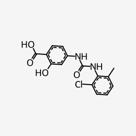 Cc1cccc(Cl)c1NC(=O)Nc1ccc(C(=O)O)c(O)c1